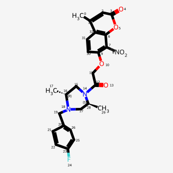 Cc1cc(=O)oc2c([N+](=O)[O-])c(OCC(=O)N3C[C@@H](C)N(Cc4ccc(F)cc4)C[C@@H]3C)ccc12